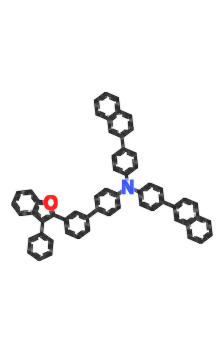 c1ccc(-c2c(-c3cccc(-c4ccc(N(c5ccc(-c6ccc7ccccc7c6)cc5)c5ccc(-c6ccc7ccccc7c6)cc5)cc4)c3)oc3ccccc23)cc1